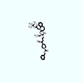 CCO[C@@H](CCCC(=C=O)C1CCN(C(=O)OCc2ccccc2)CC1)N[C@H]1CCc2ccccc2N(CC(=O)OC(C)(C)C)C1=O